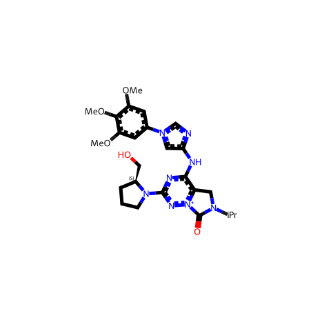 COc1cc(-n2cnc(Nc3nc(N4CCC[C@H]4CO)n[n+]4c3CN(C(C)C)C4=O)c2)cc(OC)c1OC